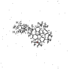 CC(C)(C)[NH+](C(C)(C)C)C(C)(C)C.FC(F)(F)c1cc([B-](c2cc(C(F)(F)F)cc(C(F)(F)F)c2)(c2cc(C(F)(F)F)cc(C(F)(F)F)c2)c2cc(C(F)(F)F)cc(C(F)(F)F)c2)cc(C(F)(F)F)c1